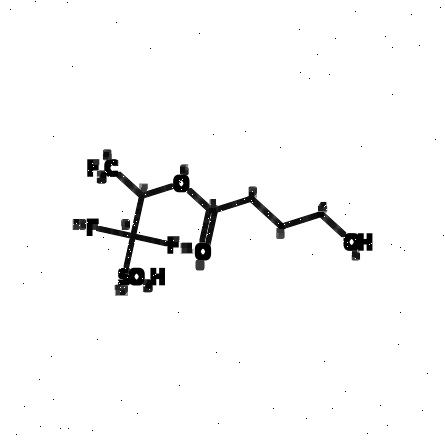 O=C(CCCO)OC(C(F)(F)F)C(F)(F)S(=O)(=O)O